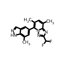 Cc1cc(C)c2nc(C(F)F)nn2c1-c1cc(C)c2[nH]ncc2c1